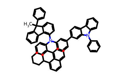 CC1(c2ccccc2)c2ccccc2-c2c(N(c3cccc(-c4ccc5c6ccccc6n(-c6ccccc6)c5c4)c3)c3ccccc3-c3cccc4cccc(C5CCCCC5)c34)cccc21